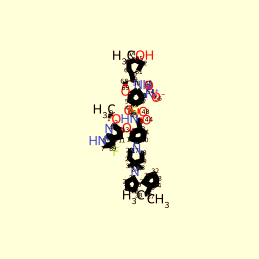 CCOc1nc2[nH]cc(F)c2cc1Oc1cc(N2CCC3(CC2)CN([C@H]2CCC[C@H]2c2ccccc2C(C)C)C3)ccc1C(=O)NS(=O)(=O)c1cc2c(c([N+](=O)[O-])c1)N[C@@H]([C@H]1CC[C@](C)(O)CC1)CO2